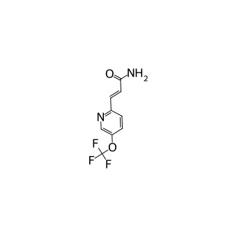 NC(=O)C=Cc1ccc(OC(F)(F)F)cn1